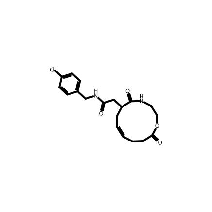 O=C(CC1CC=CCCC(=O)OCCNC1=O)NCc1ccc(Cl)cc1